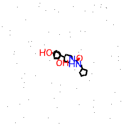 O=C(NCC1CCCC1)N1CCC(c2ccc(O)cc2O)CC1